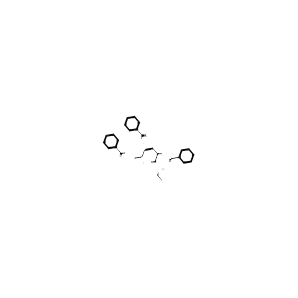 CCSC1OC(COC(=O)c2ccccc2)C(OC(=O)c2ccccc2)=CC1OC(=O)c1ccccc1